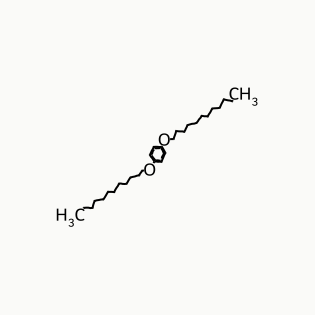 CCCCCCCCCCCCOc1ccc(OCCCCCCCCCCCC)cc1